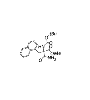 COC(=O)C(Cc1cccc2ccccc12)(NC(=O)OC(C)(C)C)C(N)=O